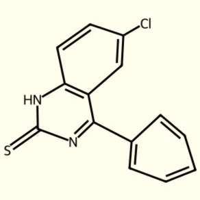 S=c1nc(-c2ccccc2)c2cc(Cl)ccc2[nH]1